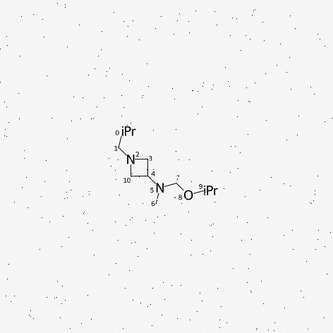 CC(C)CN1CC(N(C)COC(C)C)C1